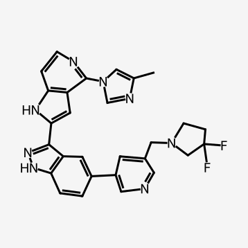 Cc1cn(-c2nccc3[nH]c(-c4n[nH]c5ccc(-c6cncc(CN7CCC(F)(F)C7)c6)cc45)cc23)cn1